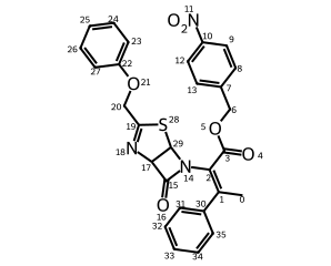 CC(=C(C(=O)OCc1ccc([N+](=O)[O-])cc1)N1C(=O)C2N=C(COc3ccccc3)SC21)c1ccccc1